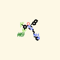 Cl.Cl.Cl.O=C(c1cc(C(F)(F)F)cc(C(F)(F)F)c1)N1CCN(CC=CCNCc2cccnc2)C[C@H]1Cc1ccc2ccccc2c1